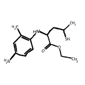 CCOC(=O)C(CC(C)S)Nc1ccc(N)cc1C